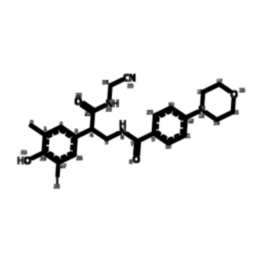 Cc1cc(C(CNC(=O)c2ccc(N3CCOCC3)cc2)C(=O)NCC#N)cc(I)c1O